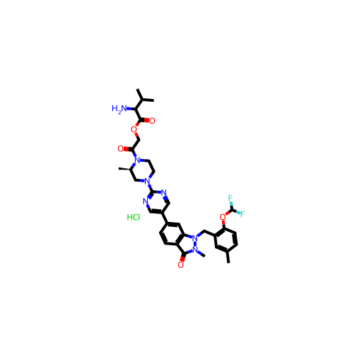 Cc1ccc(OC(F)F)c(Cn2c3cc(-c4cnc(N5CCN(C(=O)COC(=O)C(N)C(C)C)[C@H](C)C5)nc4)ccc3c(=O)n2C)c1.Cl